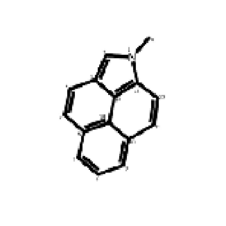 Cn1cc2ccc3cccc4ccc1c2c34